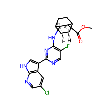 COC(=O)[C@@H]1C2CCC(CC2)[C@@H]1Nc1nc(-c2c[nH]c3ncc(Cl)cc23)ncc1F